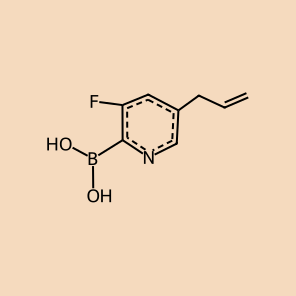 C=CCc1cnc(B(O)O)c(F)c1